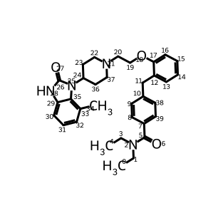 CCN(CC)C(=O)c1ccc(Cc2ccccc2OCCN2CCC(n3c(=O)[nH]c4cccc(C)c43)CC2)cc1